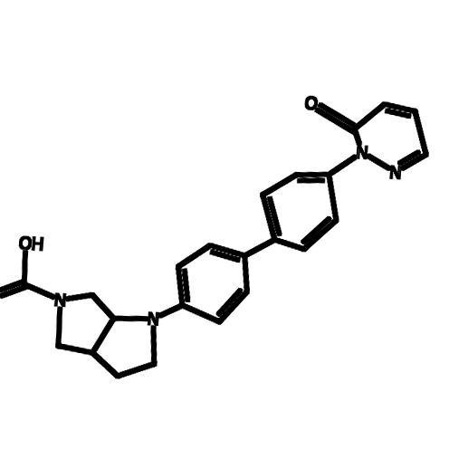 O=C(O)N1CC2CCN(c3ccc(-c4ccc(-n5ncccc5=O)cc4)cc3)C2C1